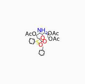 CC(=O)OCC(CC1OC(Sc2ccccc2)(C(=O)OCc2ccccc2)C[C@@H](OC(C)=O)C1N)OC(C)=O